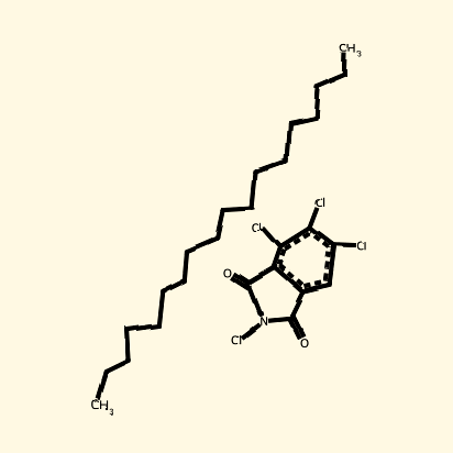 CCCCCCCCCCCCCCCCCC.O=C1c2cc(Cl)c(Cl)c(Cl)c2C(=O)N1Cl